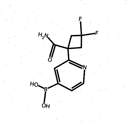 NC(=O)C1(c2cc(B(O)O)ccn2)CC(F)(F)C1